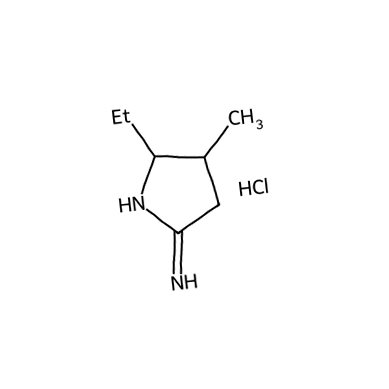 CCC1NC(=N)CC1C.Cl